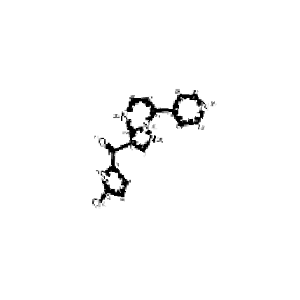 O=C(c1ccc(Cl)s1)c1cnn2c(-c3ccncc3)ccnc12